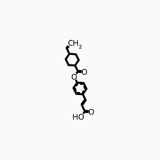 C=CC1CCC(C(=O)Oc2ccc(/C=C/C(=O)O)cc2)CC1